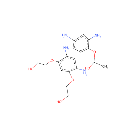 CC(O)Oc1ccc(N)cc1N.Nc1cc(N)c(OCCO)cc1OCCO